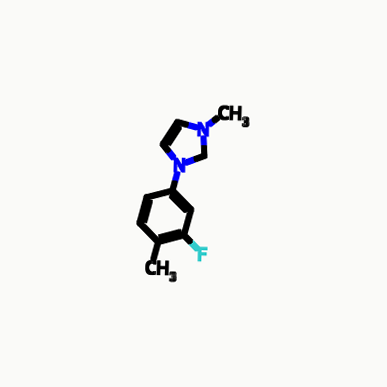 Cc1ccc(N2C=CN(C)C2)cc1F